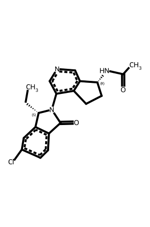 CC[C@H]1c2cc(Cl)ccc2C(=O)N1c1cncc2c1CC[C@H]2NC(C)=O